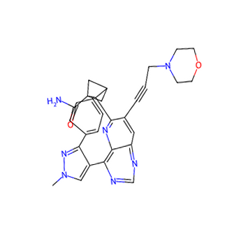 Cn1cc(-c2ncnc3cc(C#CCN4CCOCC4)c(C4C5CC4(C(N)=O)C5)nc23)c(-c2ccccc2)n1